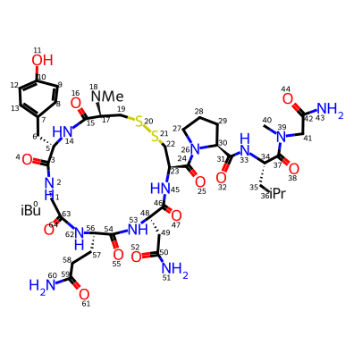 CC[C@H](C)[C@@H]1NC(=O)[C@H](Cc2ccc(O)cc2)NC(=O)[C@@H](NC)CSSC[C@@H](C(=O)N2CCC[C@H]2C(=O)N[C@@H](CC(C)C)C(=O)N(C)CC(N)=O)NC(=O)[C@H](CC(N)=O)NC(=O)[C@H](CCC(N)=O)NC1=O